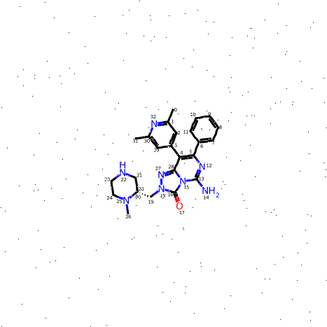 Cc1cc(-c2c(-c3ccccc3)nc(N)n3c(=O)n(C[C@H]4CNCCN4C)nc23)cc(C)n1